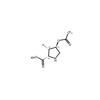 COC(=O)[C@H]1NC[C@H](OC(=O)C(F)(F)F)[C@H]1F